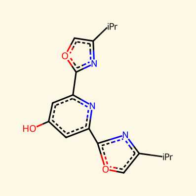 CC(C)c1coc(-c2cc(O)cc(-c3nc(C(C)C)co3)n2)n1